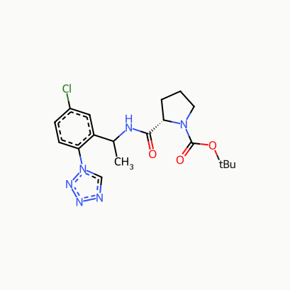 CC(NC(=O)[C@@H]1CCCN1C(=O)OC(C)(C)C)c1cc(Cl)ccc1-n1cnnn1